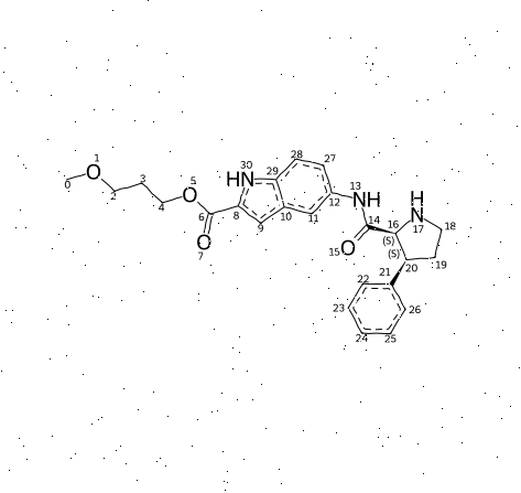 COCCCOC(=O)c1cc2cc(NC(=O)[C@H]3NCC[C@H]3c3ccccc3)ccc2[nH]1